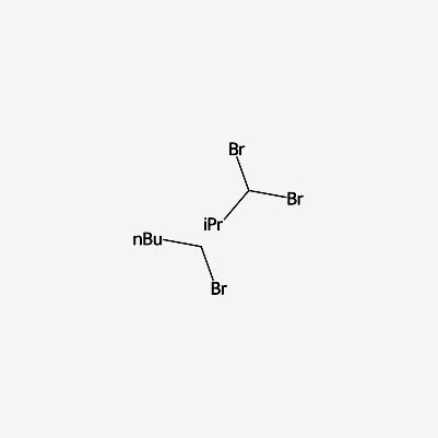 CC(C)C(Br)Br.CCCCCBr